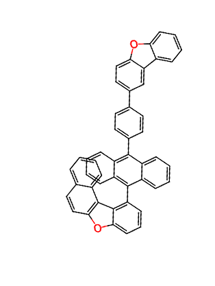 c1ccc2c(c1)ccc1oc3cccc(-c4c5ccccc5c(-c5ccc(-c6ccc7oc8ccccc8c7c6)cc5)c5ccccc45)c3c12